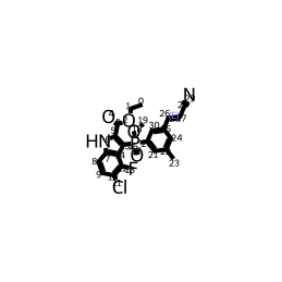 CCOC(=O)c1[nH]c2ccc(Cl)c(F)c2c1P(=O)(OC)c1cc(C)cc(/C=C/C#N)c1